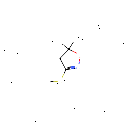 CSC1=NOC(C)(C)C1